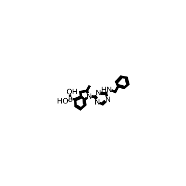 CC1Cc2c(B(O)O)cccc2N1c1ncnc(NCc2ccccc2)n1